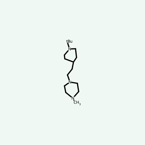 CN1CCN(CCC2CCN(C(C)(C)C)CC2)CC1